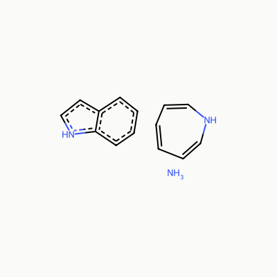 C1=CC=CNC=C1.N.c1ccc2[nH]ccc2c1